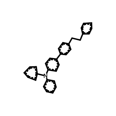 c1ccc(CCc2ccc(-c3ccc(N(c4ccccc4)c4ccccc4)cc3)cc2)cc1